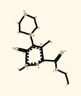 CCOC(=O)c1nn(C)c(=O)c(N2CCOCC2)c1C